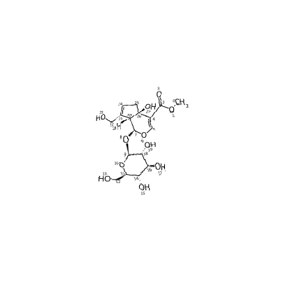 COC(=O)C1=CO[C@@H](O[C@@H]2O[C@H](CO)[C@@H](O)[C@H](O)[C@H]2O)[C@@H]2C(CO)=CC[C@]12O